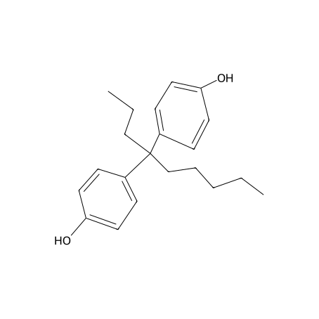 CCCCCC(CCC)(c1ccc(O)cc1)c1ccc(O)cc1